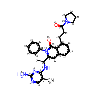 C[C@H](Nc1nc(N)ncc1C#N)c1cc2cccc(CCC(=O)N3CCCC3)c2c(=O)n1-c1ccccc1